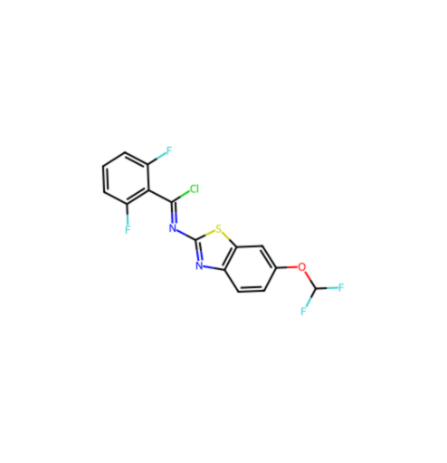 Fc1cccc(F)c1C(Cl)=Nc1nc2ccc(OC(F)F)cc2s1